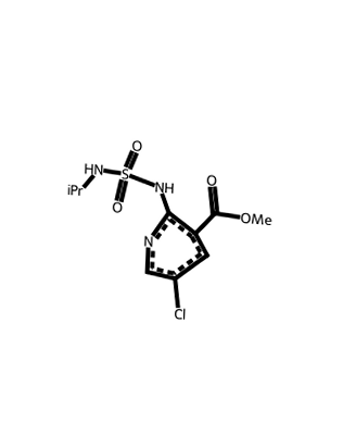 COC(=O)c1cc(Cl)cnc1NS(=O)(=O)NC(C)C